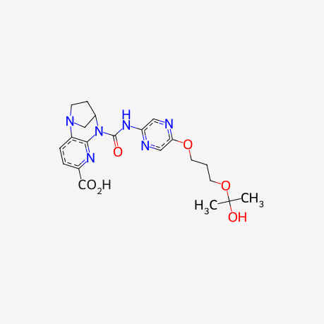 CC(C)(O)OCCCOc1cnc(NC(=O)N2c3nc(C(=O)O)ccc3N3CCC2C3)cn1